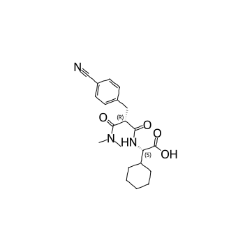 CN(C)C(=O)[C@H](Cc1ccc(C#N)cc1)C(=O)N[C@H](C(=O)O)C1CCCCC1